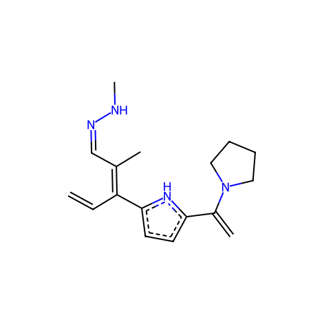 C=C/C(=C(C)\C=N/NC)c1ccc(C(=C)N2CCCC2)[nH]1